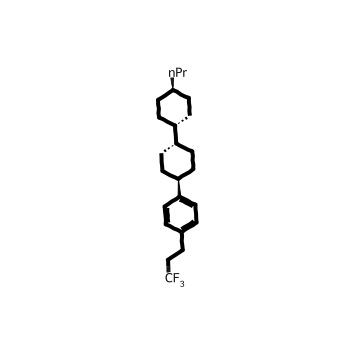 CCC[C@H]1CC[C@H]([C@H]2CC[C@H](c3ccc(CCC(F)(F)F)cc3)CC2)CC1